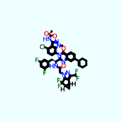 Cn1nc(NS(C)(=O)=O)c2c(Cl)ccc(-n3c([C@H](Cc4cc(F)cc(F)c4)NC(=O)Cn4nc(C(F)F)c5c4C(F)(F)[C@@H]4C[C@H]54)nc4cc(C5=CCCCC5)ccc4c3=O)c21